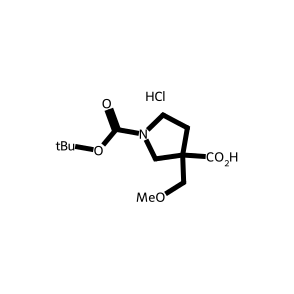 COCC1(C(=O)O)CCN(C(=O)OC(C)(C)C)C1.Cl